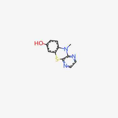 CN1c2ccc(O)cc2Sc2nccnc21